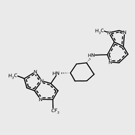 Cc1cc2nc(C(F)(F)F)cc(N[C@H]3CCC[C@@H](Nc4nccc5ncn(C)c45)C3)n2n1